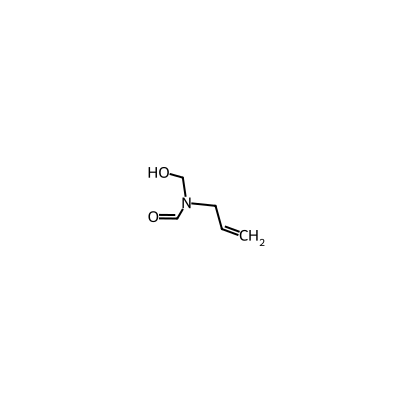 C=CCN(C=O)CO